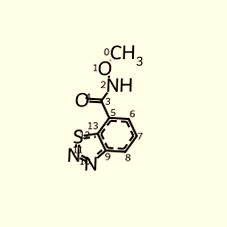 CONC(=O)c1cccc2nnsc12